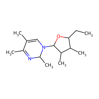 CCC1OC(N2C=C(C)C(C)=NC2C)C(C)C1C